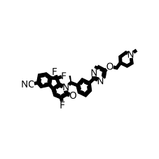 C[C@@H](c1cccc(-c2ncc(OCC3CCN(C)CC3)cn2)c1)n1c2c(cc(F)c1=O)-c1cc(C#N)ccc1C2(F)F